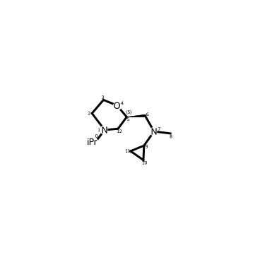 CC(C)N1CCO[C@@H](CN(C)C2CC2)C1